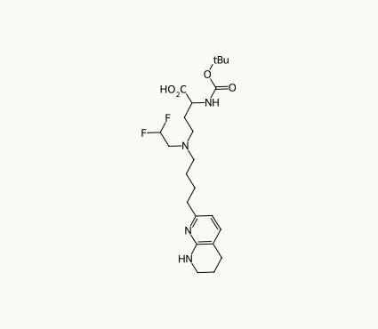 CC(C)(C)OC(=O)NC(CCN(CCCCc1ccc2c(n1)NCCC2)CC(F)F)C(=O)O